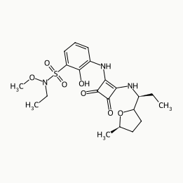 CC[C@H](Nc1c(Nc2cccc(S(=O)(=O)N(CC)OC)c2O)c(=O)c1=O)C1CC[C@@H](C)O1